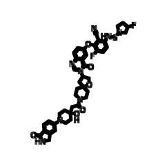 N#Cc1c(NSN2CCC(F)C2)ccc(F)c1Oc1ccc2ncn(C3COC4(CCN(C(=O)CC5(O)CCN(c6ccc7c(c6)CNC7=O)CC5)CC4)C3)c(=O)c2c1